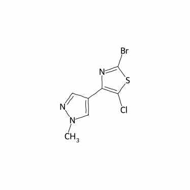 Cn1cc(-c2nc(Br)sc2Cl)cn1